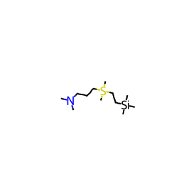 CN(C)CCCS(C)(C)CC[Si](C)(C)C